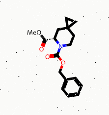 COC(=O)[C@@H]1CC2(CCN1C(=O)OCc1ccccc1)CC2